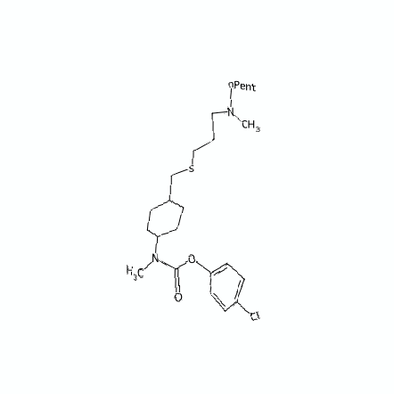 CCCCCN(C)CCCSCC1CCC(N(C)C(=O)Oc2ccc(Cl)cc2)CC1